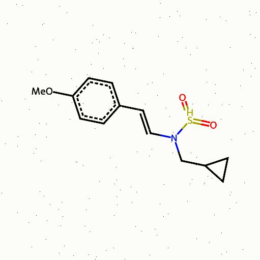 COc1ccc(C=CN(CC2CC2)[SH](=O)=O)cc1